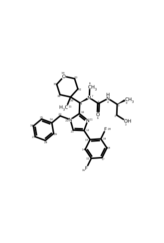 C[C@@H](CO)NC(=O)N(C)[C@@H](c1nc(-c2cc(F)ccc2F)cn1Cc1ccccc1)C1(C)CCOCC1